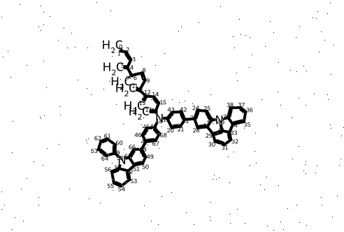 C=C/C=C\C(=C)C(=C)/C=C\C(=C)C(=C)/C=C\C(=C)N(c1ccc(-c2ccc3c(c2)c2cccc4c5ccccc5n3c42)cc1)c1ccc(-c2ccc3c4ccccc4n(-c4ccccc4)c3c2)cc1